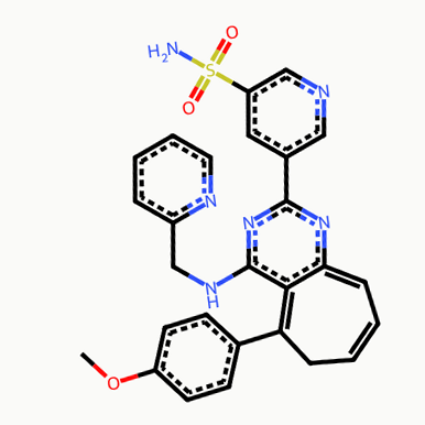 COc1ccc(C2=c3c(NCc4ccccn4)nc(-c4cncc(S(N)(=O)=O)c4)nc3=CC=CC2)cc1